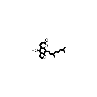 CC(C)=CCC/C(C)=C\Cc1c2occc2c(O)c2ccc(=O)oc12